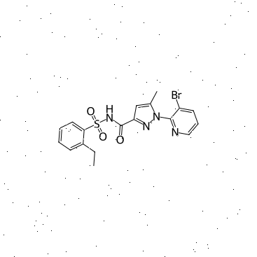 CCc1ccccc1S(=O)(=O)NC(=O)c1cc(C)n(-c2ncccc2Br)n1